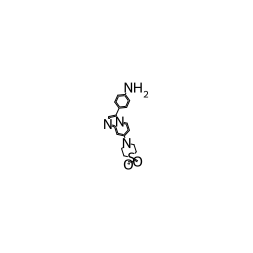 Nc1ccc(-c2cnc3cc(N4CCS(=O)(=O)CC4)ccn23)cc1